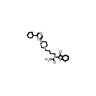 NC(=O)N(CCCCN1CCN(C2=COC=C(C3=CC=CCC3)O2)CC1)c1sc2ccccc2c1Cl